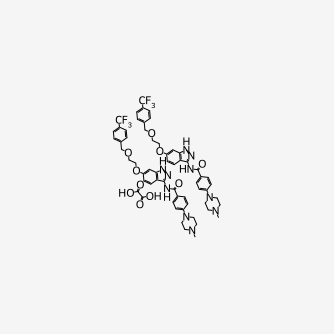 CN1CCN(c2ccc(C(=O)Nc3n[nH]c4cc(OCCOCc5ccc(C(F)(F)F)cc5)ccc34)cc2)CC1.CN1CCN(c2ccc(C(=O)Nc3n[nH]c4cc(OCCOCc5ccc(C(F)(F)F)cc5)ccc34)cc2)CC1.O=C(O)C(=O)O